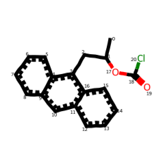 CC(Cc1c2ccccc2cc2ccccc12)OC(=O)Cl